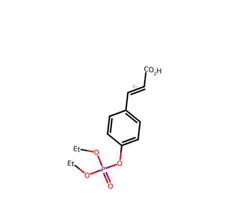 CCOP(=O)(OCC)Oc1ccc(/C=C/C(=O)O)cc1